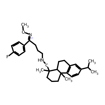 CO/N=C(/CCCNCC1(C)CCCC2(C)c3ccc(C(C)C)cc3CCC12)c1ccc(F)cc1